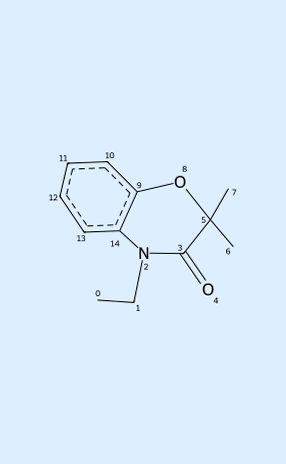 CCN1C(=O)C(C)(C)Oc2ccccc21